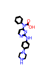 O=C(O)N(c1ccccc1)c1ccnc(Nc2ccc(N3CCNCC3)cc2)n1